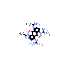 CC(N)Nc1ccc(NC(C)N)c2c1C(=O)c1c(NC(C)N)ccc(NC(C)N)c1C2=O